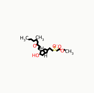 CCCCC(C)CC(=O)C=C[C@H]1[C@@H]2CC(CC[S+]([O-])CC(=O)OCC)C[C@H]2C[C@@H]1O